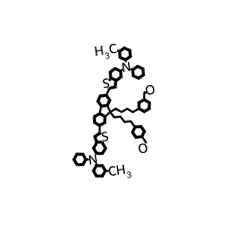 Cc1cccc(N(c2ccccc2)c2ccc3sc(-c4ccc5c(c4)C(CCCCc4ccc(C=O)cc4)(CCCCc4cccc(C=O)c4)c4cc(-c6cc7cc(N(c8ccccc8)c8cccc(C)c8)ccc7s6)ccc4-5)cc3c2)c1